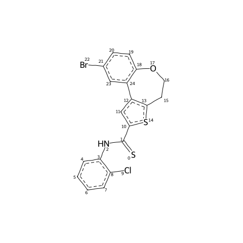 S=C(Nc1ccccc1Cl)c1cc2c(s1)CCOc1ccc(Br)cc1-2